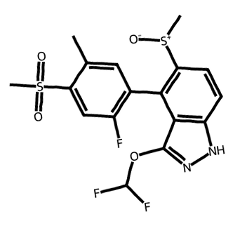 Cc1cc(-c2c([S+](C)[O-])ccc3[nH]nc(OC(F)F)c23)c(F)cc1S(C)(=O)=O